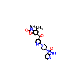 Cc1cc(C(=O)c2ccnc(N3CCC(n4c(=O)[nH]c5ncccc54)CC3)c2)cc2oc(=O)n(C)c12